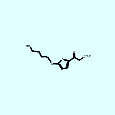 CCCCCCCCCCCCCCSc1ccc(C(=O)CC(=O)O)s1